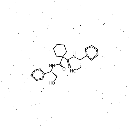 O=C(N[C@@H](CO)c1ccccc1)C1(C(=O)N[C@@H](CO)c2ccccc2)CCCCC1